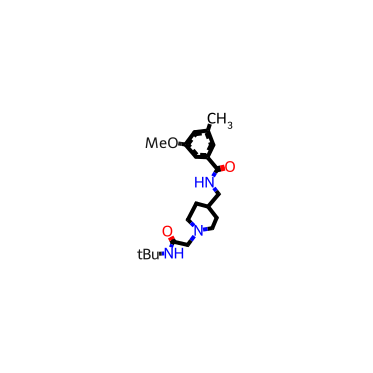 COc1cc(C)cc(C(=O)NCC2CCN(CC(=O)NC(C)(C)C)CC2)c1